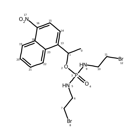 CC(OP(=O)(NCCBr)NCCBr)c1ccc([N+](=O)[O-])c2ccccc12